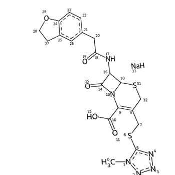 Cn1nnnc1SCC1=C(C(=O)O)N2C(=O)C(NC(=O)Cc3ccc4c(c3)CCO4)C2SC1.[NaH]